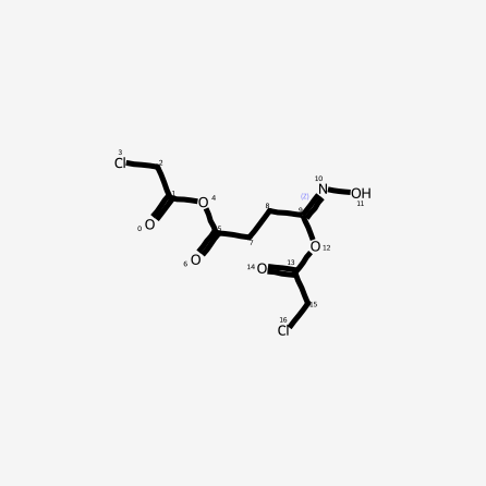 O=C(CCl)OC(=O)CC/C(=N/O)OC(=O)CCl